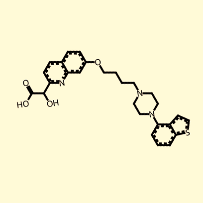 O=C(O)C(O)c1ccc2ccc(OCCCCN3CCN(c4cccc5sccc45)CC3)cc2n1